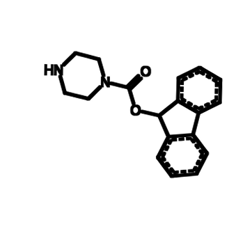 O=C(OC1c2ccccc2-c2ccccc21)N1CCNCC1